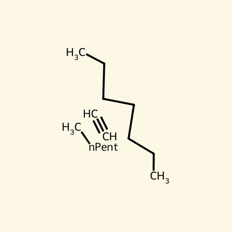 C#C.CCCCCC.CCCCCCC